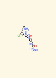 CC(=N)NCC[C@H](CO)NCc1ccc(-n2cc3cc(-c4cc(CCCC5(N)CC5)cc(Cl)c4F)[nH]c3nc2=O)cc1